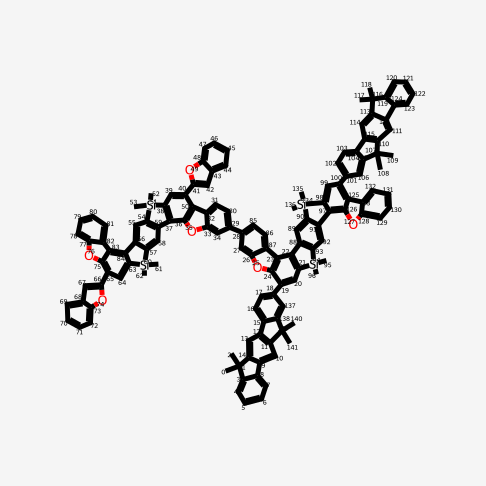 CC1(C)c2ccccc2-c2cc3c(cc21)-c1ccc(-c2cc4c(c5c2oc2cc(-c6ccc7c(c6)oc6c8c(cc(-c9cc%10ccccc%10o9)c67)[Si](C)(C)c6cc7c(cc6-8)[Si](C)(C)c6cc(-c8cc9ccccc9o8)c8oc9ccccc9c8c6-7)ccc25)-c2cc5c(cc2[Si]4(C)C)-c2c(cc(-c4ccc6c(c4)C(C)(C)c4cc7c(cc4-6)C(C)(C)c4ccccc4-7)c4c2oc2ccccc24)[Si]5(C)C)cc1C3(C)C